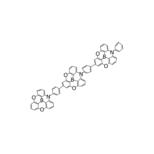 c1ccc(N2c3cccc4c3B3c5c(cc(-c6ccc(N7c8cccc9c8B8c%10c(cc(-c%11ccc(N%12c%13cccc%14c%13B%13c%15c(cccc%15Oc%15cccc%12c%15%13)O%14)cc%11)cc%10Oc%10cccc7c%108)O9)cc6)cc5Oc5cccc2c53)O4)cc1